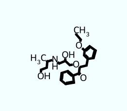 CCCOc1cccc(CC(OCC(O)CNC(C)CCO)C(=O)c2ccccc2)c1